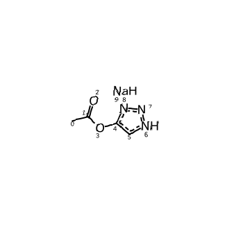 CC(=O)Oc1c[nH]nn1.[NaH]